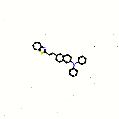 C(=C\c1nc2ccccc2s1)/c1ccc2cc(N(c3ccccc3)c3ccccc3)ccc2c1